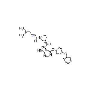 CN(C)C/C=C/C(=O)N1CCC[C@@H](Nc2n[nH]c3ncnc(Oc4ccc(Oc5ccccc5)cc4)c23)C1